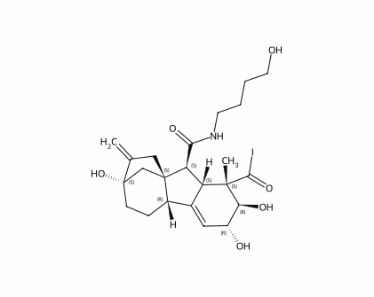 C=C1C[C@]23C[C@@]1(O)CC[C@H]2C1=C[C@@H](O)[C@H](O)[C@@](C)(C(=O)I)[C@H]1[C@@H]3C(=O)NCCCCO